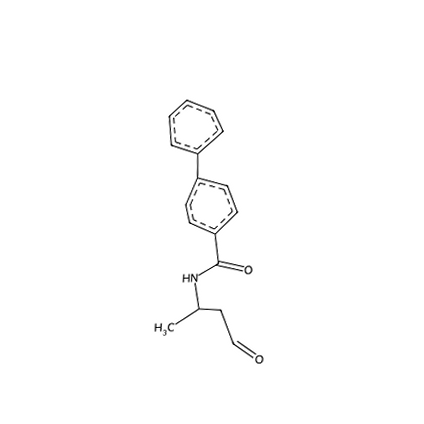 CC(CC=O)NC(=O)c1ccc(-c2ccccc2)cc1